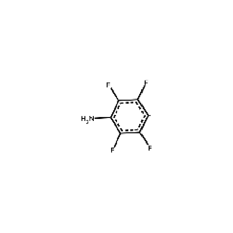 Nc1c(F)c(F)[c]c(F)c1F